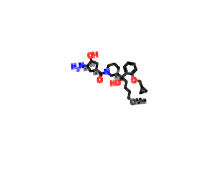 COCCCC[C@@](O)(c1ccccc1OCC1CC1)[C@@H]1CCCN(C(=O)[C@H]2C[C@@H](N)[C@@H](O)C2)C1